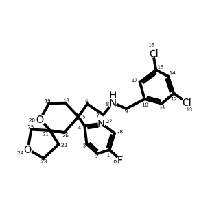 Fc1ccc(C2(CCNCc3cc(Cl)cc(Cl)c3)CCOC3(CCOC3)C2)nc1